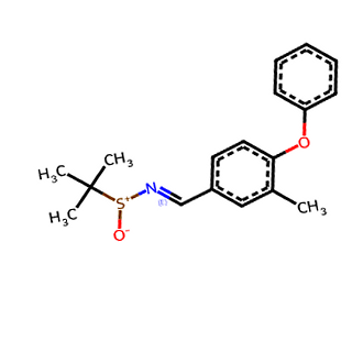 Cc1cc(/C=N/[S+]([O-])C(C)(C)C)ccc1Oc1ccccc1